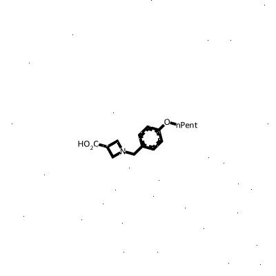 CCCCCOc1ccc(CN2CC(C(=O)O)C2)cc1